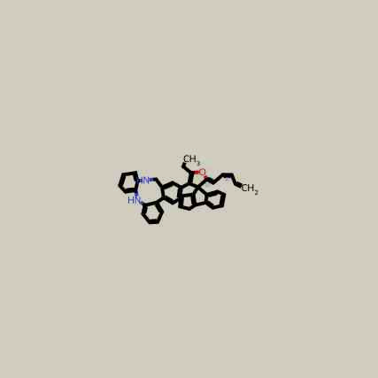 C=C/C=C\C=C1/OC(CC)=C(c2ccc3c(c2)CNc2ccccc2Nc2ccccc2-3)C12C1=C(CC=C1)c1ccccc12